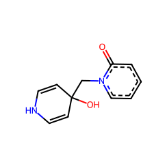 O=c1ccccn1CC1(O)C=CNC=C1